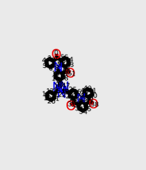 O=c1c2ccccc2n2c3ccc(-c4nc(-c5ccccc5)nc(-c5ccc6c(c5)c(=O)c5cccc7c(=O)c8ccccc8n6c75)n4)cc3c(=O)c3cccc1c32